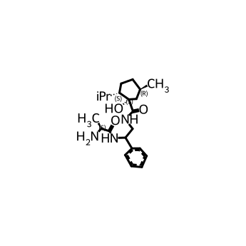 CC(C)[C@@H]1CC[C@@H](C)C[C@@]1(O)C(=O)NCC(NC(=O)[C@H](C)N)c1ccccc1